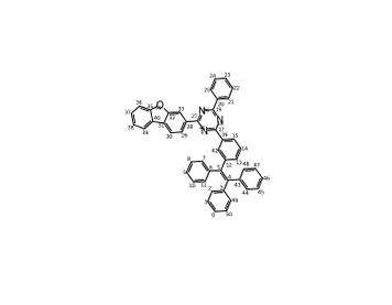 c1ccc(C(=C(c2ccccc2)c2cccc(-c3nc(-c4ccccc4)nc(-c4ccc5c(c4)oc4ccccc45)n3)c2)c2ccccc2)cc1